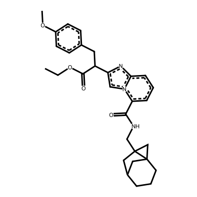 CCOC(=O)C(Cc1ccc(OC)cc1)c1cn2c(C(=O)NCC34CC5CCCC3(C5)C4)cccc2n1